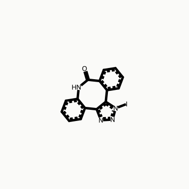 O=C1Nc2ccccc2-c2nnn(I)c2-c2ccccc21